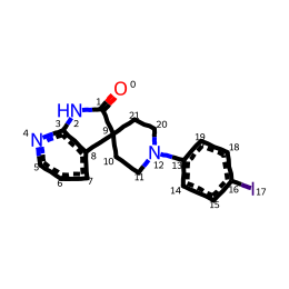 O=C1Nc2ncccc2C12CCN(c1ccc(I)cc1)CC2